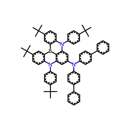 CC(C)(C)c1ccc(N2c3ccc(C(C)(C)C)cc3B3c4cc(C(C)(C)C)ccc4N(c4ccc(C(C)(C)C)cc4)c4cc(N(c5ccc(-c6ccccc6)cc5)c5ccc(-c6ccccc6)cc5)cc2c43)cc1